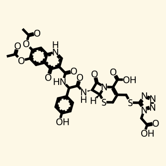 CC(=O)Oc1cc2[nH]cc(C(=O)NC(C(=O)N[C@@H]3C(=O)N4C(C(=O)O)=C(CSc5nnnn5CC(=O)O)CS[C@H]34)c3ccc(O)cc3)c(=O)c2cc1OC(C)=O